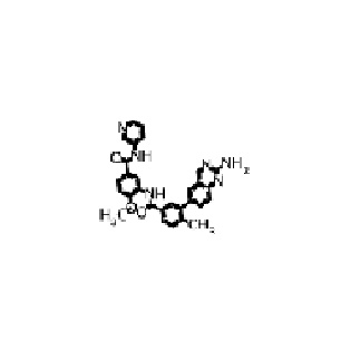 COc1ccc(C(=O)Nc2cccnc2)cc1NC(=O)c1ccc(C)c(-c2ccc3nc(N)ncc3c2)c1